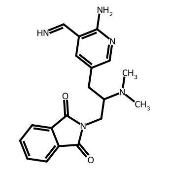 CN(C)C(Cc1cnc(N)c(C=N)c1)CN1C(=O)c2ccccc2C1=O